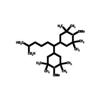 CON1C(C)(C)CC(C(CCCC(C(=O)O)C(=O)O)C2CC(C)(C)N(OC)C(C)(C)C2)CC1(C)C